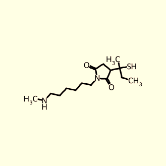 CCC(C)(S)C1CC(=O)N(CCCCCCNC)C1=O